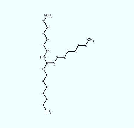 CCCCCCC[N]C(=NCCCCCCC)NCCCCCCC